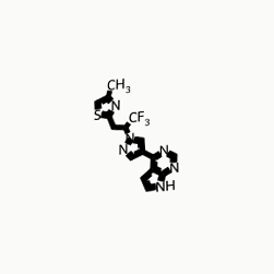 Cc1csc(CC(n2cc(-c3ncnc4[nH]ccc34)cn2)C(F)(F)F)n1